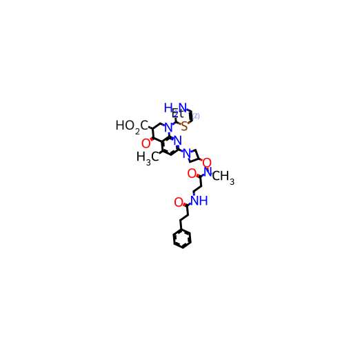 CCC(S/C=C\N)N1CC(C(=O)O)C(=O)c2c(C)cc(N3CC(ON(C)C(=O)CCNC(=O)CCc4ccccc4)C3)nc21